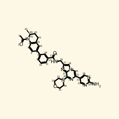 CC(=O)N1c2ccc(-c3cccc(C(=O)NCc4cn5cc(-c6cnc(N)nc6)nc(N6CCOCC6)c5n4)c3)cc2CC[C@@H]1C